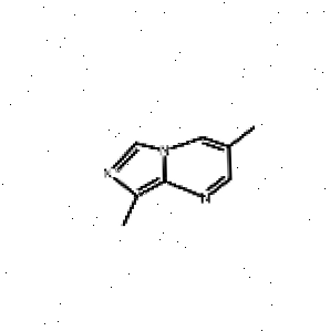 Cc1cnc2c(C)ncn2c1